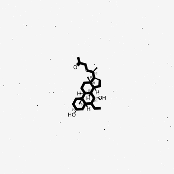 CCC1[C@@H](O)[C@@H]2[C@H](CC[C@]3(C)[C@@H]([C@H](C)CCC(C)=O)CC[C@@H]23)[C@@]2(C)CC[C@@H](O)C[C@@H]12